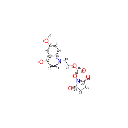 COc1ccc2c(c1)c(=O)ccn2CCOC(=O)ON1C(=O)CCC1=O